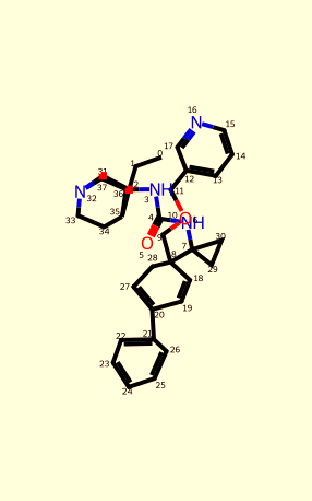 CCC1(NC(=O)NC2(C3(COCc4cccnc4)C=CC(c4ccccc4)=CC3)CC2)CN2CCC1CC2